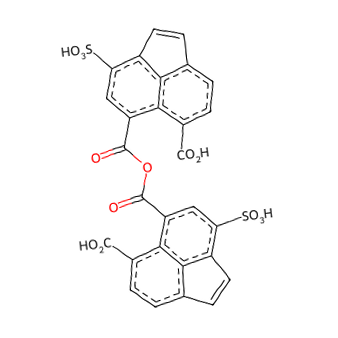 O=C(O)c1ccc2c3c(c(S(=O)(=O)O)cc(C(=O)OC(=O)c4cc(S(=O)(=O)O)c5c6c(ccc(C(=O)O)c46)C=C5)c13)C=C2